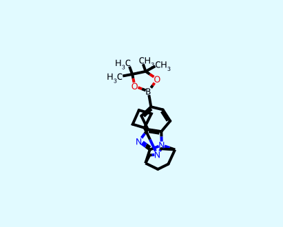 CC1(C)OB(c2ccc3c(c2)nc2n3C3CCC2CN(C2CCC2)C3)OC1(C)C